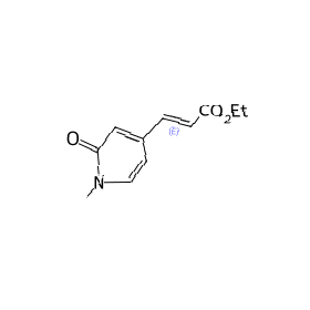 CCOC(=O)/C=C/c1ccn(C)c(=O)c1